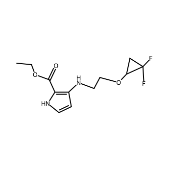 CCOC(=O)c1[nH]ccc1NCCOC1CC1(F)F